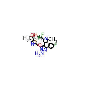 Cc1cc(-c2c(OCc3ncc(C(C)(C)O)s3)nc(N)nc2-c2ccc(F)cc2)cc(C(F)F)n1